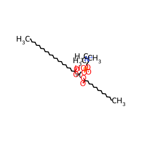 CCCCCCCCCCCCCCCCCCCCCC(=O)O[C@H](COC(=O)CCCCCCCCCCCCC)COP(=O)(O)OCC[N+](C)(C)C